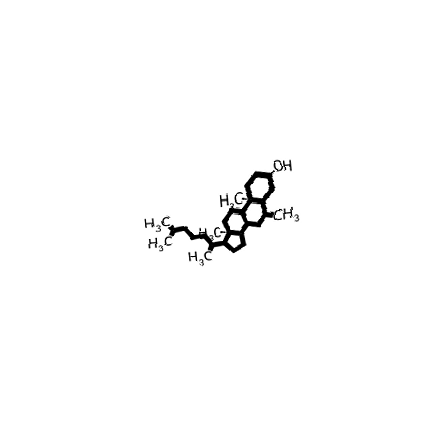 CC(C)CCCC(C)C1CCC2C3CC(C)C4C[C@@H](O)CC[C@]4(C)C3CC[C@]12C